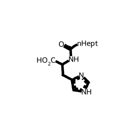 CCCCCCCC(=O)NC(Cc1c[nH]cn1)C(=O)O